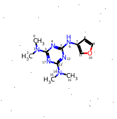 CN(C)c1nc(Nc2ccoc2)nc(N(C)C)n1